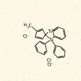 CC1=C[C]([Ti+3])([Si](c2ccccc2)(c2ccccc2)c2ccccc2)C=C1.[Cl-].[Cl-].[Cl-]